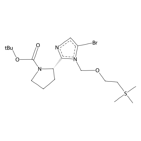 CC(C)(C)OC(=O)N1CCC[C@H]1c1ncc(Br)n1COCCS(C)(C)C